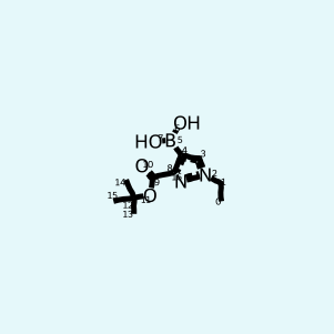 CCn1cc(B(O)O)c(C(=O)OC(C)(C)C)n1